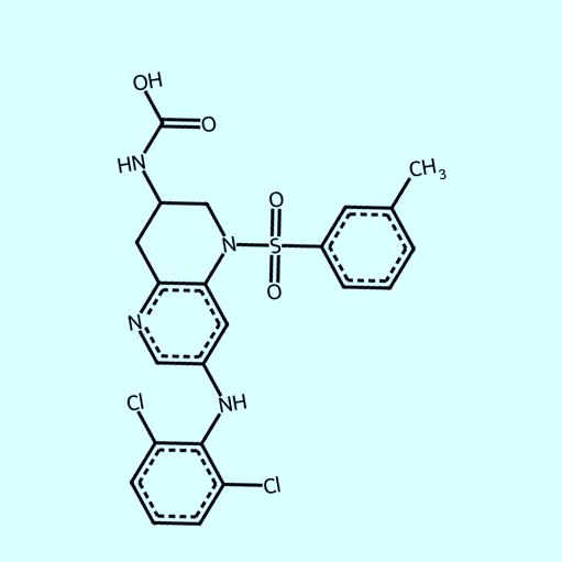 Cc1cccc(S(=O)(=O)N2CC(NC(=O)O)Cc3ncc(Nc4c(Cl)cccc4Cl)cc32)c1